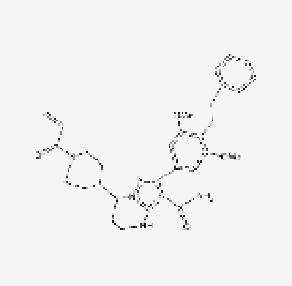 C=CC(=O)N1CCC(C2CCNc3c(C(N)=O)c(-c4cc(OC)c(C=Cc5ccccc5)c(OC)c4)nn32)CC1